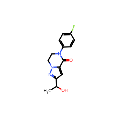 CC(O)c1cc2n(n1)CCN(c1ccc(F)cc1)C2=O